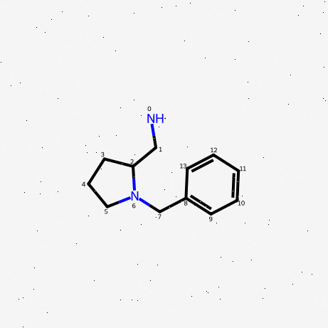 [NH]CC1CCCN1Cc1ccccc1